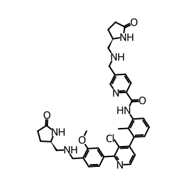 COc1cc(-c2nccc(-c3cccc(NC(=O)c4ccc(CNC[C@H]5CCC(=O)N5)cn4)c3C)c2Cl)ccc1CNC[C@H]1CCC(=O)N1